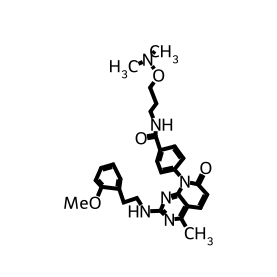 COc1ccccc1CCNc1nc(C)c2ccc(=O)n(-c3ccc(C(=O)NCCCON(C)C)cc3)c2n1